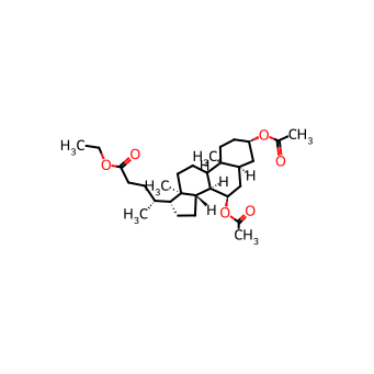 CCOC(=O)CC[C@@H](C)[C@H]1CC[C@H]2[C@@H]3[C@H](OC(C)=O)C[C@@H]4C[C@H](OC(C)=O)CC[C@]4(C)[C@H]3CC[C@]12C